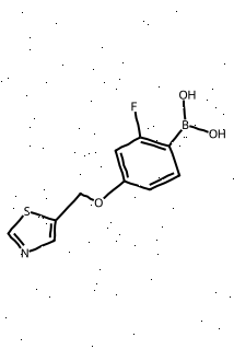 OB(O)c1ccc(OCc2cncs2)cc1F